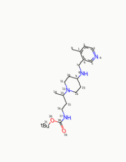 Cc1ccncc1CNC1CCN(C(C)CCNC(=O)OC(C)(C)C)CC1